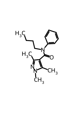 CCCCN(C(=O)c1c(C)nn(C)c1C)c1ccccc1